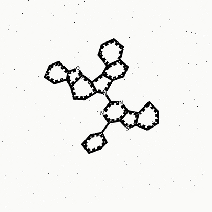 c1ccc(-c2nc(-n3c4ccc5ccccc5c4c4c5oc6ccccc6c5ccc43)nc3c2sc2ccccc23)cc1